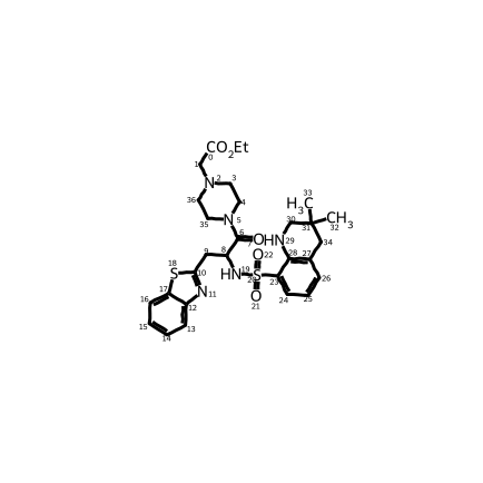 CCOC(=O)CN1CCN(C(=O)C(Cc2nc3ccccc3s2)NS(=O)(=O)c2cccc3c2NCC(C)(C)C3)CC1